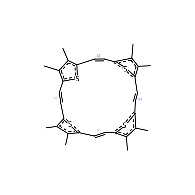 Cc1c2sc(c1C)/C=C\c1sc(c(C)c1C)/C=C\c1sc(c(C)c1C)/C=C\c1sc(c(C)c1C)/C=C\2